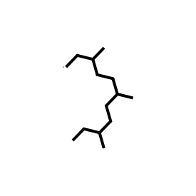 [CH2]CC(C)CCC(C)CCC(C)CC